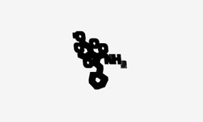 COC(=O)C(=O)c1c(C)oc(CC2CCCCC2)c1C(N)=O